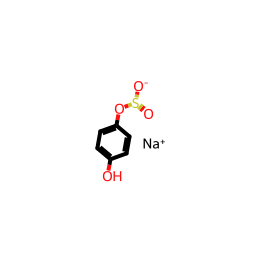 O=S([O-])Oc1ccc(O)cc1.[Na+]